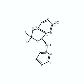 CC1(C)C[C@H](Nc2ccccc2)c2cc(Cl)ccc2O1